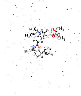 COC(=O)[C@H](C)Oc1cccc(Cn2c(C)c(C)c3cc(C(=O)N[C@@H](C)c4cccc(C(C)C)c4)ccc32)c1